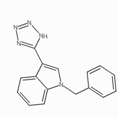 c1ccc(Cn2cc(-c3nnn[nH]3)c3ccccc32)cc1